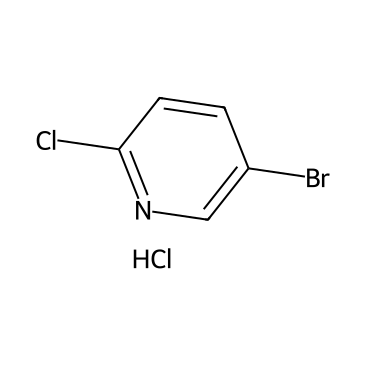 Cl.Clc1ccc(Br)cn1